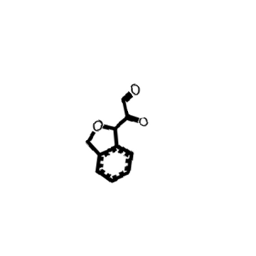 O=CC(=O)C1OCc2ccccc21